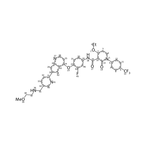 CCOc1ccn(-c2ccc(C(F)(F)F)cc2)c(=O)c1C(=O)Nc1ccc(Oc2ccnc3cc(-c4ccc(CNCCOC)cn4)sc23)c(F)c1